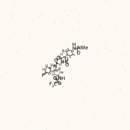 CNC(=O)Nc1ccc2c(c1)CC[C@@]21OC(=O)N(CC(=O)N(Cc2ccc(F)cc2)C2CCC(NS(=O)(=O)C(F)(F)F)CC2)C1=O